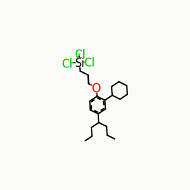 CCCC(CCC)c1ccc(OCCC[Si](Cl)(Cl)Cl)c(C2CCCCC2)c1